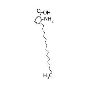 CCCCCCCCCCCCCCCCc1cccc(C(=O)O)c1N